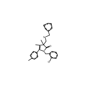 CC1=C(c2ccc(C)cc2)N(Cc2ccccc2Cl)C(=O)C1(C)C[Se]Cc1ccccc1